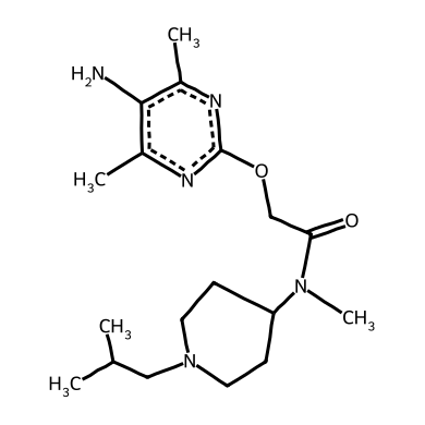 Cc1nc(OCC(=O)N(C)C2CCN(CC(C)C)CC2)nc(C)c1N